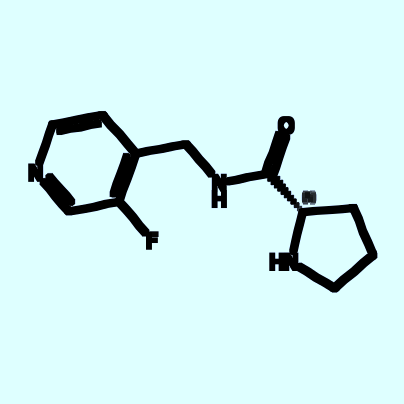 O=C(NCc1ccncc1F)[C@@H]1CCCN1